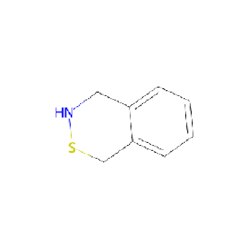 c1ccc2c(c1)CNSC2